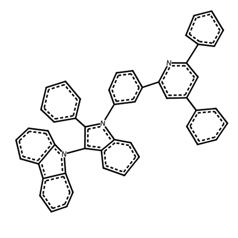 c1ccc(-c2cc(-c3ccccc3)nc(-c3cccc(-n4c(-c5ccccc5)c(-n5c6ccccc6c6ccccc65)c5ccccc54)c3)c2)cc1